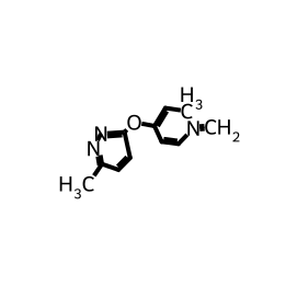 C=N/C=C\C(=C/C)Oc1ccc(C)nn1